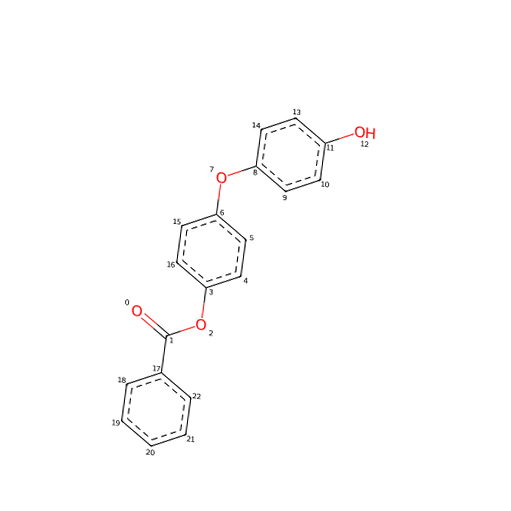 O=C(Oc1ccc(Oc2ccc(O)cc2)cc1)c1ccccc1